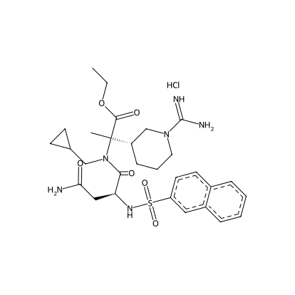 CCOC(=O)C(C)([C@H]1CCCN(C(=N)N)C1)N(CC1CC1)C(=O)[C@H](CC(N)=O)NS(=O)(=O)c1ccc2ccccc2c1.Cl